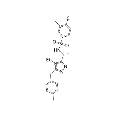 CCn1c(Cc2ccc(C)cc2)nnc1[C@@H](C)NS(=O)(=O)c1ccc(Cl)c(C)c1